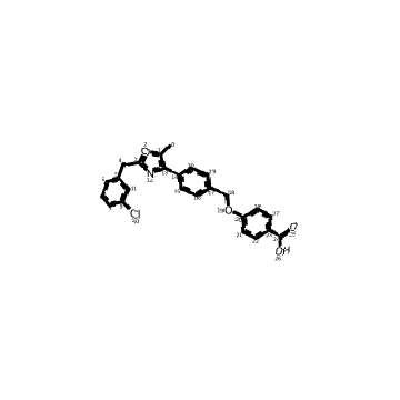 Cc1oc(Cc2cccc(Cl)c2)nc1-c1ccc(COc2ccc(C(=O)O)cc2)cc1